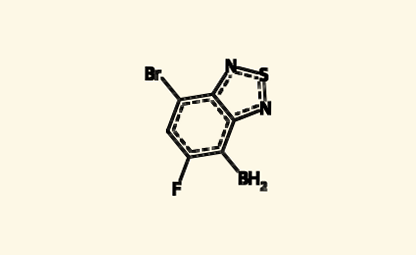 Bc1c(F)cc(Br)c2nsnc12